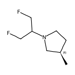 C[C@@H]1CCN(C(CF)CF)C1